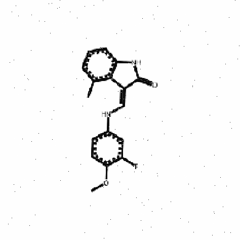 COc1ccc(N/C=C2/C(=O)Nc3cccc(C)c32)cc1F